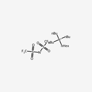 CCCCCC[N+](CCCC)(CCCC)CCCC.O=S(=O)([N-]S(=O)(=O)C(F)(F)F)C(F)(F)F